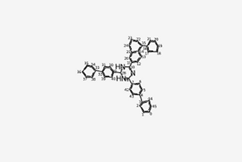 c1ccc(-c2ccc(C3N=C(c4ccc5c(-c6ccccc6)cccc5c4)NC(c4ccc(-c5ccccc5)cc4)N3)cc2)cc1